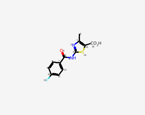 Cc1nc(NC(=O)c2ccc(F)cc2)sc1C(=O)O